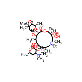 CC[C@H]1OC(=O)[C@H](C)[C@@H](O[C@H]2C[C@@](C)(OC)[C@]3(CO3)[C@H](C)O2)[C@H](C)[C@@H](O[C@@H]2O[C@H](C)C[C@H](N(C)C)[C@H]2O)[C@](C)(O)C[C@@H](C)CN(CC)[C@H](C)[C@@H](O)[C@]1(C)O